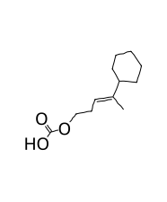 C/C(=C\CCOC(=O)O)C1CCCCC1